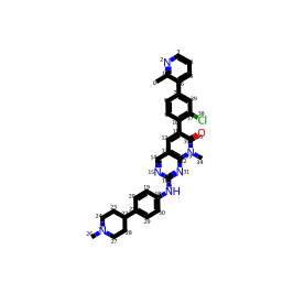 Cc1ncccc1-c1ccc(-c2cc3cnc(Nc4ccc(C5CCN(C)CC5)cc4)nc3n(C)c2=O)c(Cl)c1